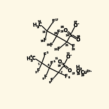 CC(F)(F)C(F)(F)C(F)(F)S(=O)(=O)[O-].CC(F)(F)C(F)(F)C(F)(F)S(=O)(=O)[O-].O.[Cu+2]